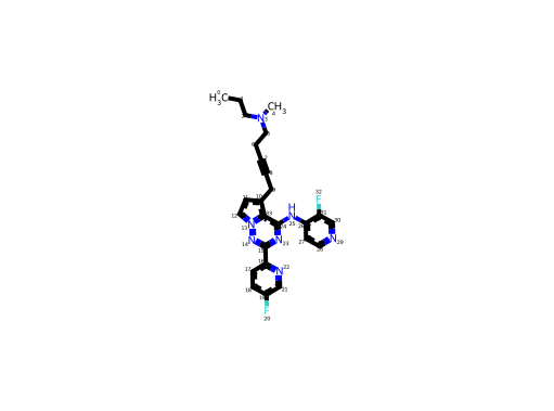 CCCN(C)CCC#CCc1ccn2nc(-c3ccc(F)cn3)nc(Nc3ccncc3F)c12